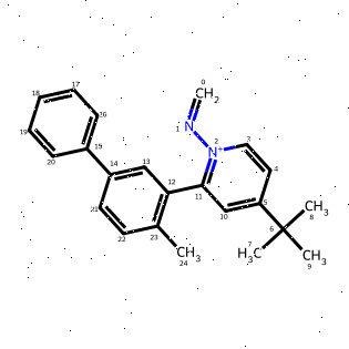 C=N[n+]1ccc(C(C)(C)C)cc1-c1cc(-c2ccccc2)ccc1C